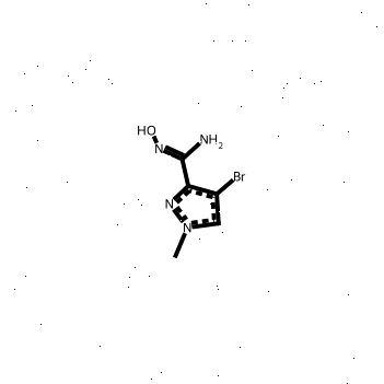 Cn1cc(Br)c(/C(N)=N/O)n1